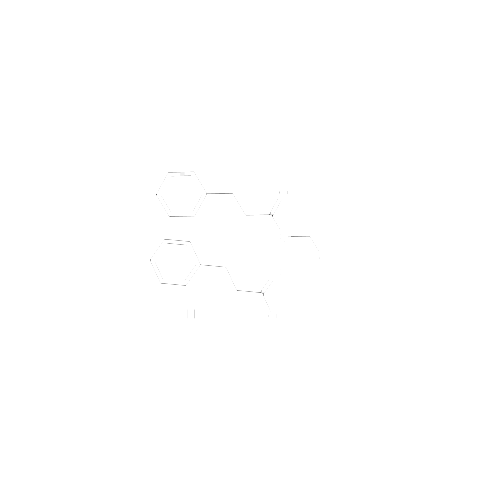 CCOC(=O)CCc1ccccc1.I.O=C(O)CCc1ccccc1